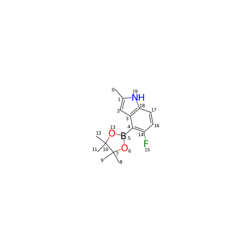 Cc1cc2c(B3OC(C)(C)C(C)(C)O3)c(F)ccc2[nH]1